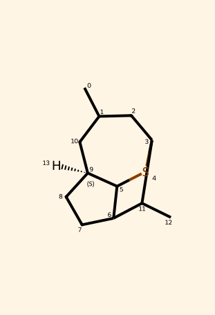 CC1CC2SC3C(CC[C@H]3C1)C2C